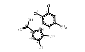 Nc1ccc(Cl)c(Cl)c1.O=C(O)c1nc(Cl)c(Cl)[nH]1